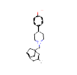 CC1CC2=CCC(CN3CCC(c4ccc(O)cc4)CC3)(C2)C1